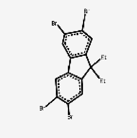 CCC1(CC)c2cc(Br)c(Br)cc2-c2cc(Br)c(Br)cc21